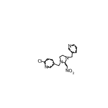 O=[N+]([O-])C=C1N(Cc2cccnc2)CCN1Cc1ccc(Cl)nc1